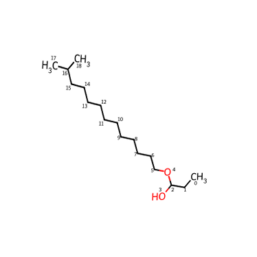 CCC(O)OCCCCCCCCCCCC(C)C